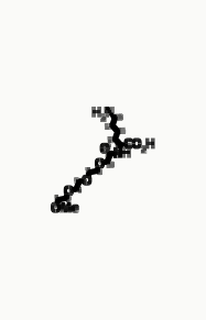 COCCOCCOCCOCC(=O)N[C@@H](CCCCN)C(=O)O